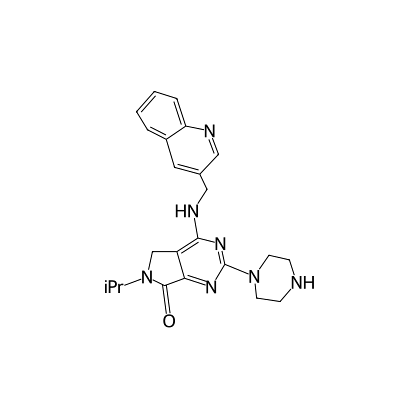 CC(C)N1Cc2c(NCc3cnc4ccccc4c3)nc(N3CCNCC3)nc2C1=O